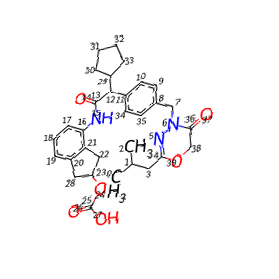 CC(C)CC1=NN(Cc2ccc(C(C(=O)Nc3cccc4c3CC(OC(=O)O)C4)C3CCCC3)cc2)C(=O)CO1